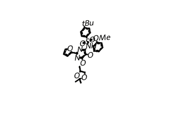 COc1cccc(Oc2c(NS(=O)(=O)c3ccc(C(C)(C)C)cc3)nc(-c3ccco3)nc2OCC2COC(C)(C)O2)c1